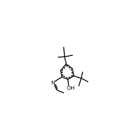 C/C=N\c1cc(C(C)(C)C)cc(C(C)(C)C)c1O